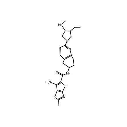 CNC1CN(c2ccc3c(n2)CCC(NC(=O)c2sc4nc(C)sc4c2N)C3)CC1CF